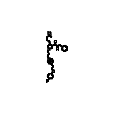 C=C(/C=C\C=C1/CN(CCCN2CC3CCC2CN3CCOc2ccc(F)cc2)C=C1C(=O)NCc1ccccc1)CC